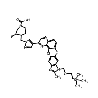 Cc1nc2ccc(Oc3ccc4ncc(-c5cnn(CC6CCN(C(=O)O)CC6F)c5)nc4c3Cl)cc2n1COCC[Si](C)(C)C